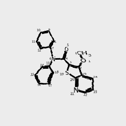 COc1c(C(=O)N(c2ccccc2)c2ccccc2)sc2ncccc12